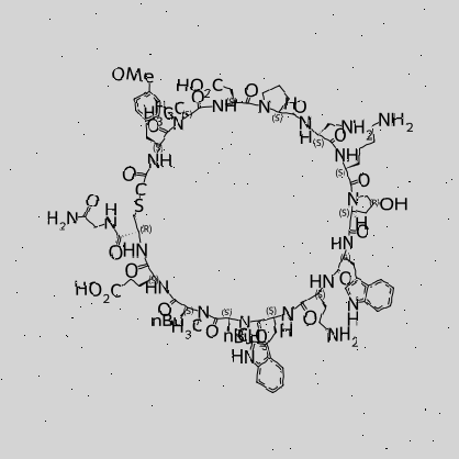 CCCC[C@H]1C(=O)N(C)[C@@H](CCCC)C(=O)N[C@@H](CCC(=O)O)C(=O)N[C@H](C(=O)NCC(N)=O)CSCC(=O)N[C@@H](Cc2ccc(OC)cc2)C(=O)N(C)[C@@H](C)C(=O)N[C@@H](CC(=O)O)C(=O)N2CCC[C@H]2C(=O)N[C@@H](CN)C(=O)N[C@@H](CCCCN)C(=O)N2C[C@H](O)C[C@H]2C(=O)N[C@@H](Cc2c[nH]c3ccccc23)C(=O)N[C@@H](CCN)C(=O)N[C@@H](Cc2c[nH]c3ccccc23)C(=O)N1C